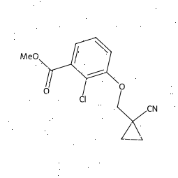 COC(=O)c1cccc(OCC2(C#N)CC2)c1Cl